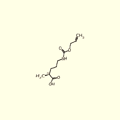 C=CCOC(=O)NCCC[C@H](C)C(=O)O